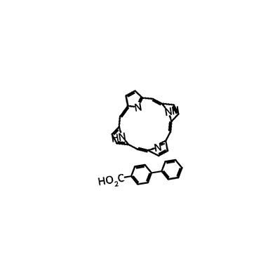 C1=Cc2cc3ccc(cc4nc(cc5ccc(cc1n2)[nH]5)C=C4)[nH]3.O=C(O)c1ccc(-c2ccccc2)cc1